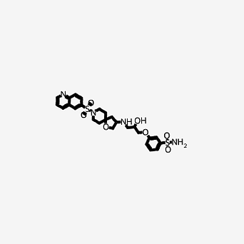 NS(=O)(=O)c1cccc(OCC(O)CNC2COC3(CCN(S(=O)(=O)c4ccc5ncccc5c4)CC3)C2)c1